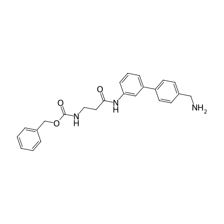 NCc1ccc(-c2cccc(NC(=O)CCNC(=O)OCc3ccccc3)c2)cc1